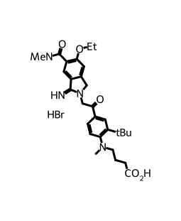 Br.CCOc1cc2c(cc1C(=O)NC)C(=N)N(CC(=O)c1ccc(N(C)CCCC(=O)O)c(C(C)(C)C)c1)C2